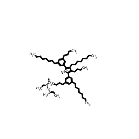 CCCCCCCCC1=C(c2cc(CCCC)cc(CCCCCCCC)c2)[N+](=[N-])C(c2cc(CCCC)cc(CCCCCCCC)c2)=C1CCCC.CC[N](C)[Pd][N](C)CC